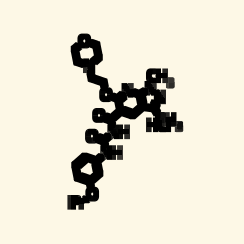 Cc1nn(C)c2nc(OCCN3CCOCC3)c(C(=O)NC(=O)Nc3cccc(OC(C)C)c3)cc12.Cl